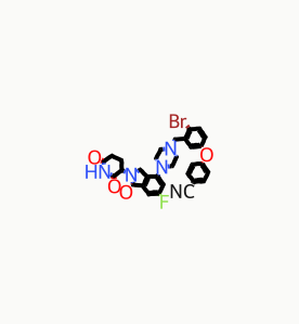 N#Cc1ccc(Oc2ccc(Br)c(CN3CCN(c4cc(F)cc5c4CN(C4CCC(=O)NC4=O)C5=O)CC3)c2)cc1